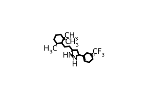 CC1CCCC(C)(C)C1CCC1CC(C2=CCC[C@H](C(F)(F)F)C2)NN1